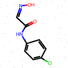 O=C(/C=N\O)Nc1ccc(Cl)cc1